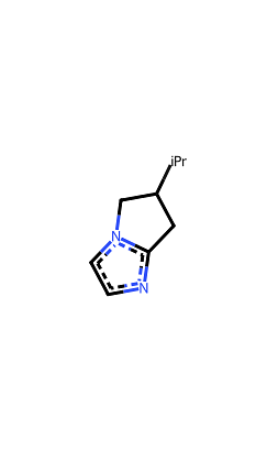 CC(C)C1Cc2nccn2C1